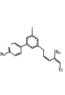 C=C(/C=C\C(=C/C)c1cc(I)cc(C/C=C\C(=C/CC)C(C)(C)C)c1)C(C)(C)C